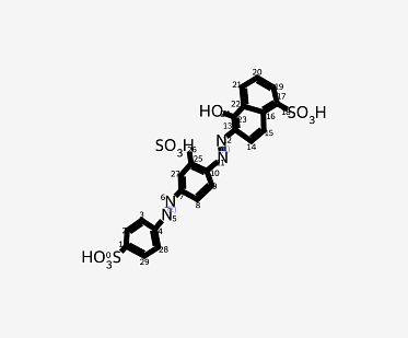 O=S(=O)(O)c1ccc(/N=N/c2ccc(/N=N/c3ccc4c(S(=O)(=O)O)cccc4c3O)c(S(=O)(=O)O)c2)cc1